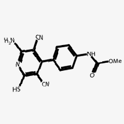 COC(=O)Nc1ccc(-c2c(C#N)c(N)nc(S)c2C#N)cc1